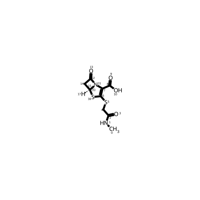 CNC(=O)CSC1=C(C(=O)O)N2C(=O)C[C@@H]2S1